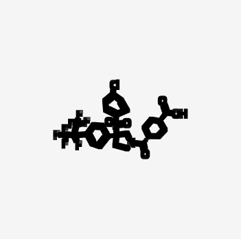 O=C(O)[C@H]1CC[C@H](C(=O)N2CC[C@](c3ccc(C(F)(C(F)(F)F)C(F)(F)F)cc3)(S(=O)(=O)c3ccc(Cl)cc3)C2)CC1